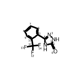 O=c1[nH]nc(-c2ccccc2C(F)(F)F)[nH]1